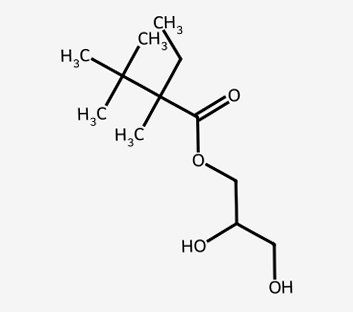 CCC(C)(C(=O)OCC(O)CO)C(C)(C)C